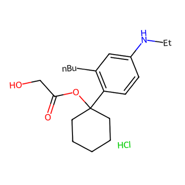 CCCCc1cc(NCC)ccc1C1(OC(=O)CO)CCCCC1.Cl